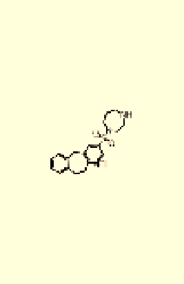 Cl.O=S(=O)(c1ccc2c(c1)Cc1ccccc1CC2)N1CCCNCC1